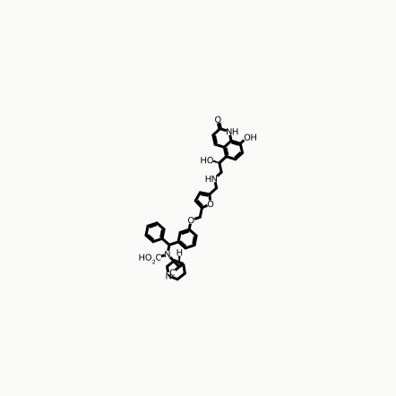 O=C(O)N(C(c1ccccc1)c1cccc(OCc2ccc(CNC[C@@H](O)c3ccc(O)c4[nH]c(=O)ccc34)o2)c1)[C@H]1CN2CCC1CC2